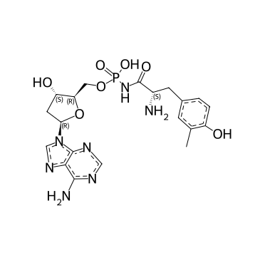 Cc1cc(C[C@H](N)C(=O)NP(=O)(O)OC[C@H]2O[C@@H](n3cnc4c(N)ncnc43)C[C@@H]2O)ccc1O